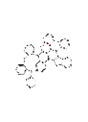 c1ccc(-c2ccccc2N2c3cccc4c3B(c3ccc5cc3N4c3ccccc3Sc3ccccc3N5c3ccccc3)c3sc4ccccc4c32)cc1